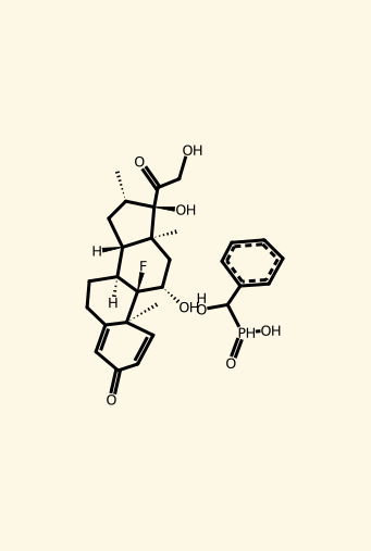 C[C@H]1C[C@H]2[C@@H]3CCC4=CC(=O)C=C[C@]4(C)[C@@]3(F)[C@@H](O)C[C@]2(C)[C@@]1(O)C(=O)CO.O=[PH](O)C(O)c1ccccc1